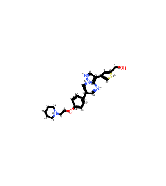 OCc1cc(-c2cnn3cc(-c4ccc(OCCN5CCCCC5)cc4)cnc23)cs1